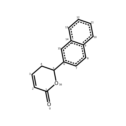 O=C1C=CCC(c2ccc3ccccc3c2)O1